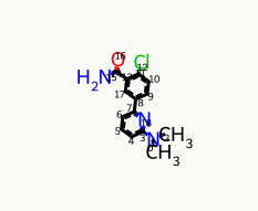 CN(C)c1cccc(-c2ccc(Cl)c(C(N)=O)c2)n1